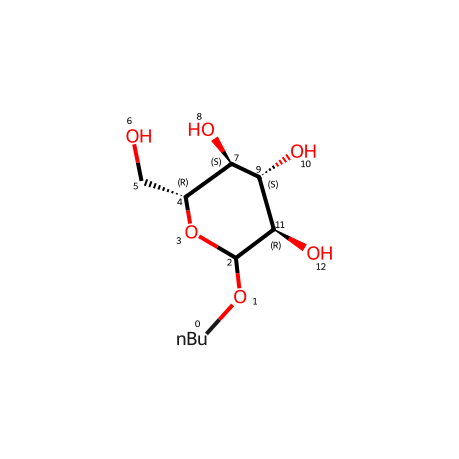 CCCCOC1O[C@H](CO)[C@@H](O)[C@H](O)[C@H]1O